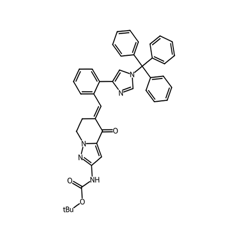 CC(C)(C)OC(=O)Nc1cc2n(n1)CC/C(=C\c1ccccc1-c1cn(C(c3ccccc3)(c3ccccc3)c3ccccc3)cn1)C2=O